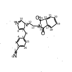 N#Cc1ccc(Cc2cncn2CCN2C(=O)c3ccccc3C2=O)cc1